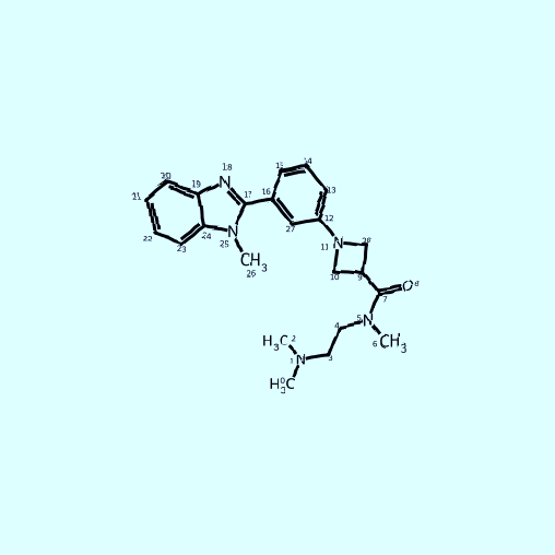 CN(C)CCN(C)C(=O)C1CN(c2cccc(-c3nc4ccccc4n3C)c2)C1